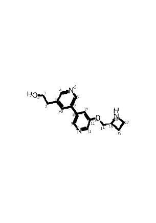 OCCc1cncc(-c2cncc(OC[C@@H]3CCN3)c2)c1